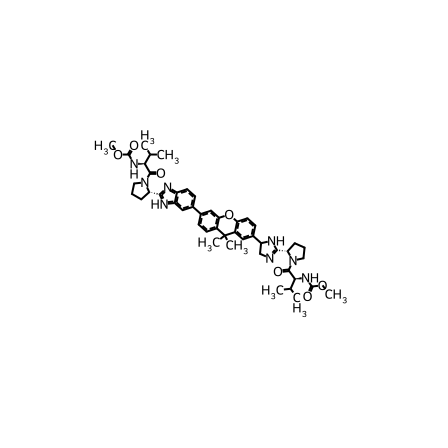 COC(=O)N[C@H](C(=O)N1CCC[C@H]1C1=NCC(c2ccc3c(c2)C(C)(C)c2ccc(-c4ccc5nc([C@@H]6CCCN6C(=O)[C@@H](NC(=O)OC)C(C)C)[nH]c5c4)cc2O3)N1)C(C)C